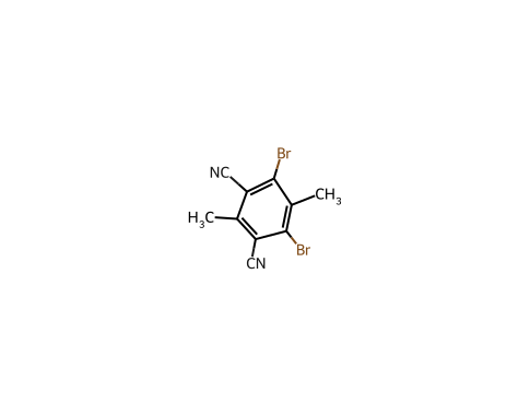 Cc1c(Br)c(C#N)c(C)c(C#N)c1Br